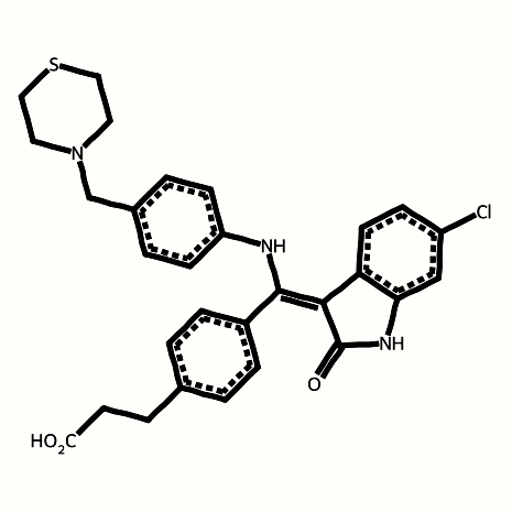 O=C(O)CCc1ccc(C(Nc2ccc(CN3CCSCC3)cc2)=C2C(=O)Nc3cc(Cl)ccc32)cc1